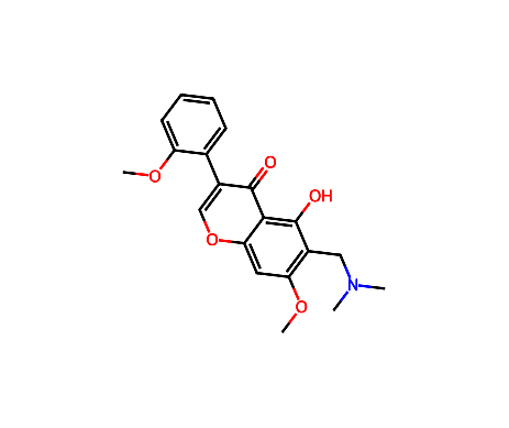 COc1ccccc1-c1coc2cc(OC)c(CN(C)C)c(O)c2c1=O